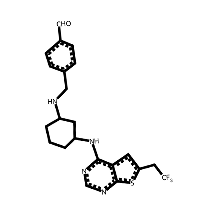 O=Cc1ccc(CNC2CCCC(Nc3ncnc4sc(CC(F)(F)F)cc34)C2)cc1